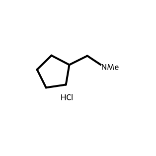 CNCC1CCCC1.Cl